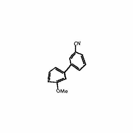 COc1cccc(-c2cccc(C#N)c2)c1